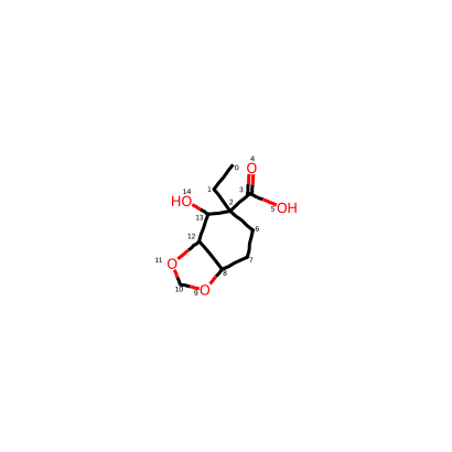 CCC1(C(=O)O)CCC2OCOC2C1O